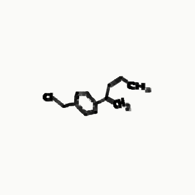 C=C(/C=C\C)c1ccc(CCl)cc1